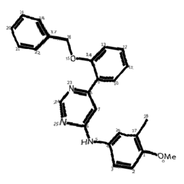 COc1ccc(Nc2cc(-c3ccccc3OCc3ccccc3)ncn2)cc1C